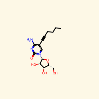 CCCCC#Cc1cn([C@@H]2O[C@H](CO)[C@@H](O)[C@H]2O)c(=O)nc1N